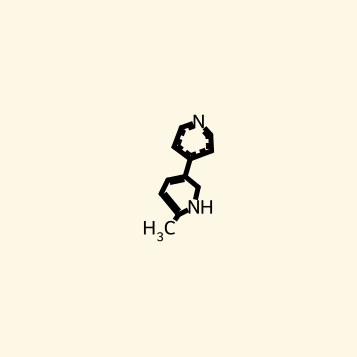 CC1=CC=C(c2ccncc2)CN1